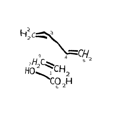 C=C.C=CC=C.O=C(O)O